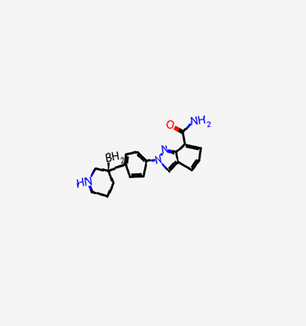 B[C@@]1(c2ccc(-n3cc4cccc(C(N)=O)c4n3)cc2)CCCNC1